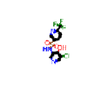 O=S(=O)(Nc1cncc(Cl)c1O)c1ccc(C(F)(F)F)nc1